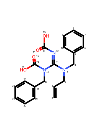 C=CCN(Cc1ccccc1)C(=NC(=O)O)N(Cc1ccccc1)C(=O)O